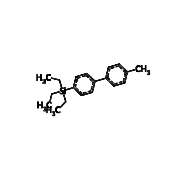 CC[Si](CC)(CC)c1ccc(-c2ccc(C)cc2)cc1